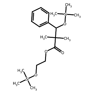 CC(C)(C(=O)OCCO[Si](C)(C)C)C(O[Si](C)(C)C)c1ccccc1